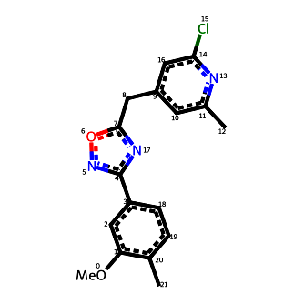 COc1cc(-c2noc(Cc3cc(C)nc(Cl)c3)n2)ccc1C